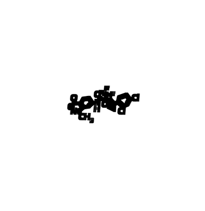 Cc1noc(=O)c2ccc(NC(=O)C(O)(CC3(c4ccc(Cl)cc4Cl)CC3)C(F)(F)F)cc12